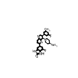 Cc1cc(F)cc(-c2cnc3ccc(-c4cc(F)c5[nH]c(=O)[nH]c5c4)nc3c2N2CCC(N)CC2)c1